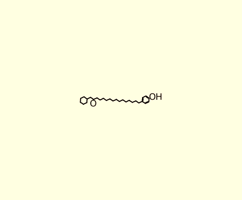 O=C(CCCCCCCCCCCCCCc1ccc(O)cc1)CC1CCCCC1